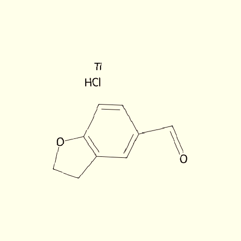 Cl.O=Cc1ccc2c(c1)CCO2.[Ti]